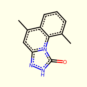 Cc1cc2n[nH]c(=O)n2c2c(C)cccc12